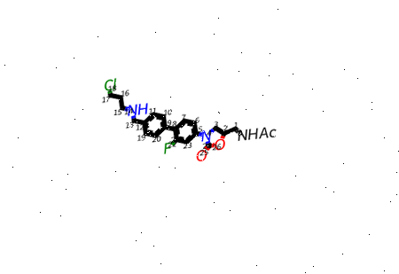 CC(=O)NCC1CN(c2ccc(-c3ccc(CNCCCCl)cc3)c(F)c2)C(=O)O1